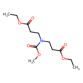 CCOC(=O)CCN(CCC(=O)OCC)C(=O)OC